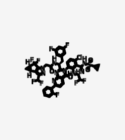 N=C(NS(=O)(=O)C1CC1)c1c(Cl)ccc(-n2c([C@H](Cc3cc(F)cc(F)c3)NC(=O)Cn3nc(C(F)F)c4c3C(F)(F)[C@@H]3C[C@H]43)nc3nc(-c4ccccc4F)ccc3c2=O)c1NCC(F)F